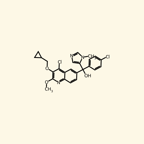 COc1nc2ccc(C(O)(c3ccc(Cl)cc3)c3cncn3C)cc2c(Cl)c1OCC1CC1